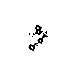 NC1CC(N[C@@H]2C[C@H]2c2ccc(OCc3ccccc3)cc2)c2ccccc21